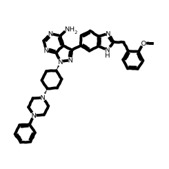 COc1ccccc1Cc1nc2ccc(-c3nn([C@H]4CC[C@@H](N5CCN(c6ccccc6)CC5)CC4)c4ncnc(N)c34)cc2[nH]1